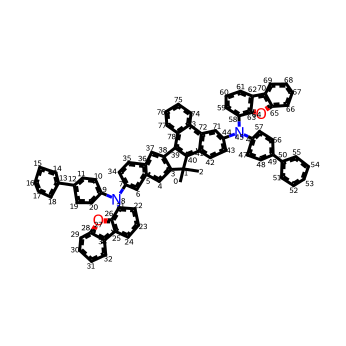 CC1(C)c2cc3cc(N(c4ccc(-c5ccccc5)cc4)c4cccc5c4oc4ccccc45)ccc3cc2-c2c1c1ccc(N(c3ccc(-c4ccccc4)cc3)c3cccc4c3oc3ccccc34)cc1c1ccccc21